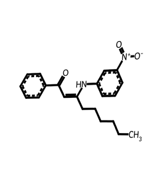 CCCCCC/C(=C/C(=O)c1ccccc1)Nc1cccc([N+](=O)[O-])c1